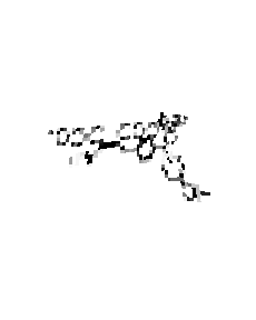 CC(C)/C(C(=O)[O-])=C(\Cc1ccc(C(=O)N2CCC(O)CC2)cc1)C(=O)[O-].[Na+].[Na+]